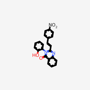 O=c1c2ccccc2nc(/C=C/c2ccc([N+](=O)[O-])cc2)n1-c1ccccc1O